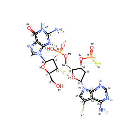 Nc1nc2c(ncn2[C@@H]2O[C@H](CO)[C@@H](F)[C@H]2P(=O)(O)OC[C@H]2O[C@@H](n3cc(F)c4c(N)ncnc43)C[C@@H]2O[PH](=O)S)c(=O)[nH]1